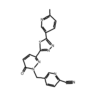 Cc1ccc(-c2nnc(-c3ccc(=O)n(Cc4ccc(C#N)nc4)n3)s2)cn1